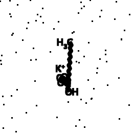 CCCCCCCCCCCCC(COCCO)OS(=O)(=O)[O-].[K+]